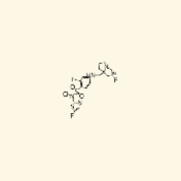 O=S(=O)(c1ccc(NC[C@@]23CCCN2C[C@H](F)C3)cc1F)N(Cl)c1ncc(F)s1